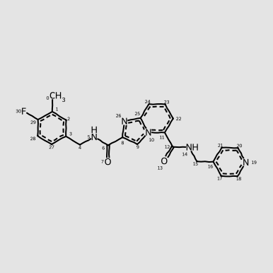 Cc1cc(CNC(=O)c2cn3c(C(=O)NCc4ccncc4)cccc3n2)ccc1F